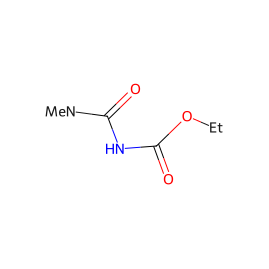 [CH2]NC(=O)NC(=O)OCC